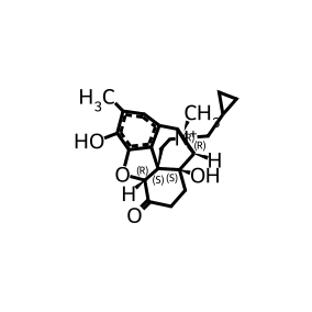 Cc1cc2c3c(c1O)O[C@H]1C(=O)CC[C@@]4(O)[C@@H](C2)[N@@+](C)(CC2CC2)CC[C@]314